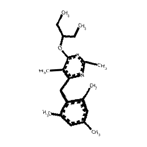 CCC(CC)Oc1nc(C)nc(Cc2c(C)cc(C)cc2C)c1C